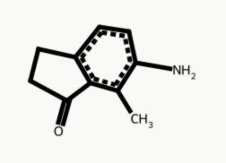 Cc1c(N)ccc2c1C(=O)CC2